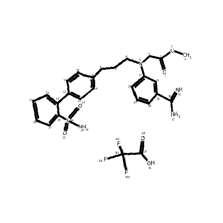 COC(=O)CN(CCCc1ccc(-c2ccccc2S(N)(=O)=O)cc1)c1cccc(C(=N)N)c1.O=C(O)C(F)(F)F